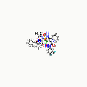 CC1CCC(CC(C)(O)c2cc(-c3ccccc3)on2)N1S(=O)(=O)Nc1c(Cl)c(C(=O)Nc2ccc(F)c(F)c2)n2c1CCCCC2